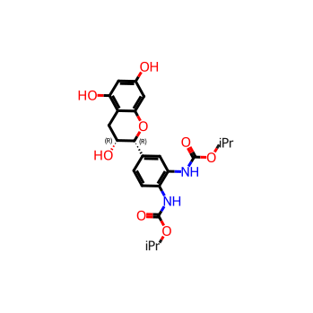 CC(C)OC(=O)Nc1ccc([C@H]2Oc3cc(O)cc(O)c3C[C@H]2O)cc1NC(=O)OC(C)C